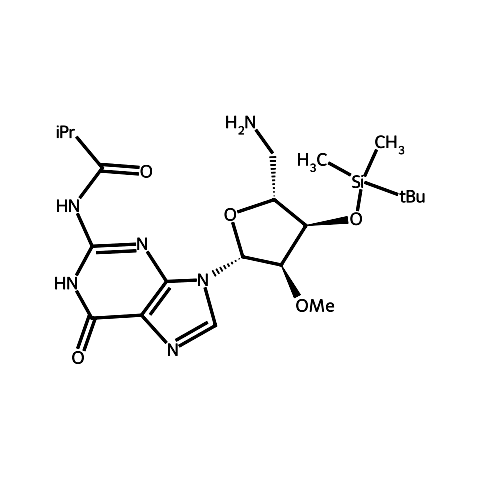 CO[C@@H]1[C@H](O[Si](C)(C)C(C)(C)C)[C@@H](CN)O[C@H]1n1cnc2c(=O)[nH]c(NC(=O)C(C)C)nc21